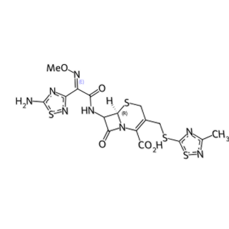 CO/N=C(/C(=O)NC1C(=O)N2C(C(=O)O)=C(CSc3nc(C)ns3)CS[C@H]12)c1nsc(N)n1